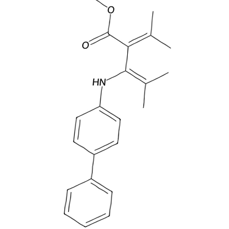 COC(=O)C(=C(C)C)C(Nc1ccc(-c2ccccc2)cc1)=C(C)C